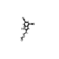 N#Cc1cc(C#N)c2cc(CCOC=O)[nH]c2c1